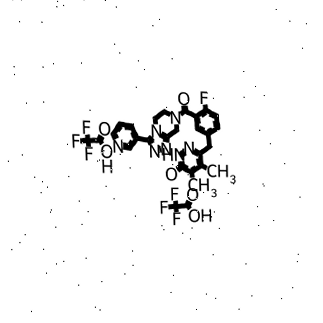 Cc1c(Cc2ccc(F)c(C(=O)N3CCn4c(nnc4-c4cccnc4)C3)c2)n[nH]c(=O)c1C.O=C(O)C(F)(F)F.O=C(O)C(F)(F)F